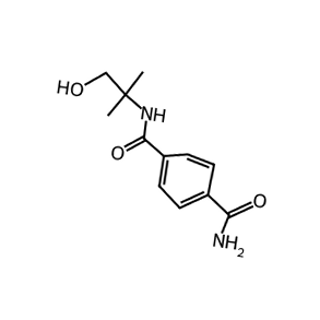 CC(C)(CO)NC(=O)c1ccc(C(N)=O)cc1